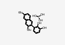 CC(C)(C)c1ccc2cc(-c3cccc(O)c3O)c(C(C)(C)C)cc2c1.OP(O)O